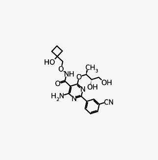 C[C@H](Oc1nc(-c2cccc(C#N)c2)nc(N)c1C(=O)NOCC1(O)CCC1)[C@@H](O)CO